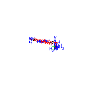 CC(=N)NCCc1ccc(OCCOCCOCCNC(=O)C(=O)NCCOCCOCCOc2ccc(CCNC(=N)NC(=O)c3nc(Cl)c(N)nc3N)cc2)cc1